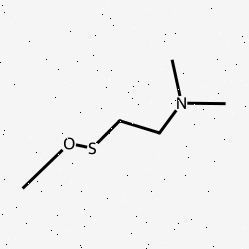 COSCCN(C)C